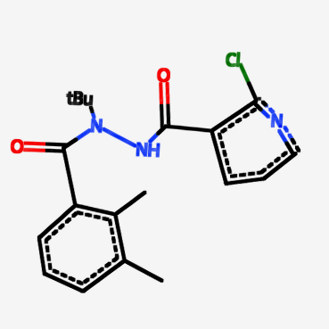 Cc1cccc(C(=O)N(NC(=O)c2cccnc2Cl)C(C)(C)C)c1C